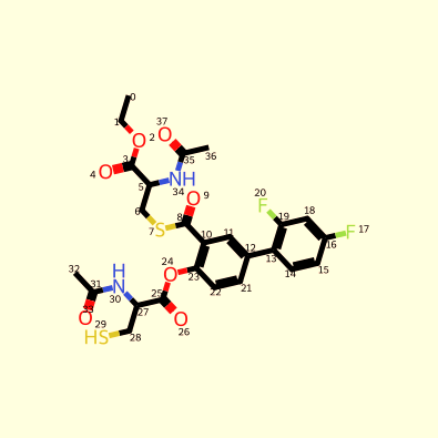 CCOC(=O)C(CSC(=O)c1cc(-c2ccc(F)cc2F)ccc1OC(=O)C(CS)NC(C)=O)NC(C)=O